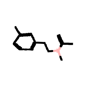 C=C(C)B(C)CCc1cccc(C)c1